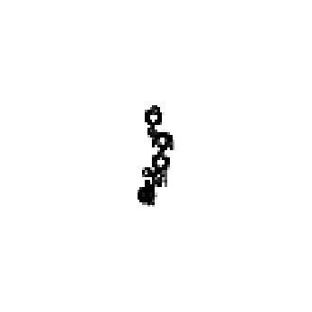 CC1(NC(=O)C2(F)CCN(c3nccc(OC4CCOCC4)n3)CC2)CCN2CCC1CC2